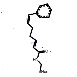 CCCCCCCCCCNC(=O)/C=C/CC/C=C\c1ccccc1